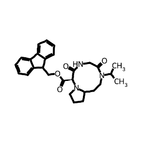 CC(C)N1CCC2CCCN2[C@@H](C(=O)OCC2c3ccccc3-c3ccccc32)C(=O)NCC1=O